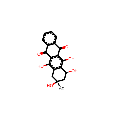 CC(=O)[C@@]1(O)Cc2c(O)c3c(c(O)c2[C@@H](O)C1)C(=O)c1ccccc1C3=O